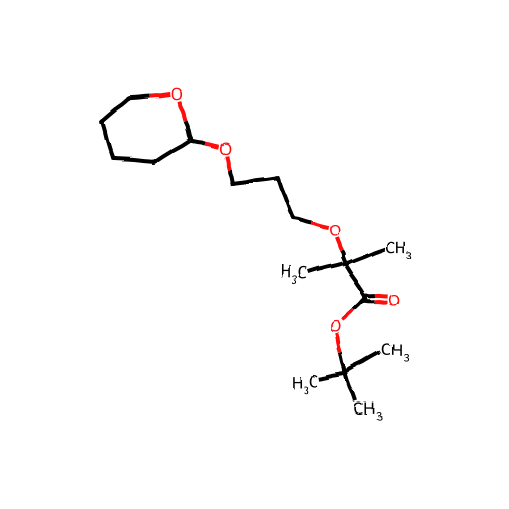 CC(C)(C)OC(=O)C(C)(C)OCCCOC1CCCCO1